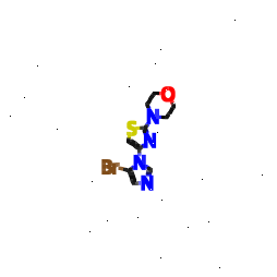 Brc1cncn1-c1csc(N2CCOCC2)n1